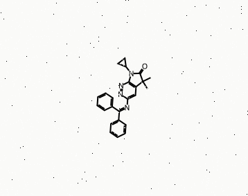 CC1(C)C(=O)N(C2CC2)c2nnc(N=C(c3ccccc3)c3ccccc3)cc21